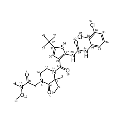 CCC1(C)C(=O)N(CC(=O)N(C)OC)CCN1C(=O)c1cc(C(C)(C)C)sc1NC(=O)Nc1cccc(Cl)c1Cl